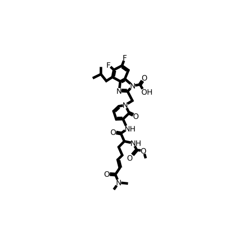 COC(=O)NC(CC/C=C/C(=O)N(C)C)C(=O)Nc1cccn(Cc2nc3c(CC(C)C)c(F)c(F)cc3n2C(=O)O)c1=O